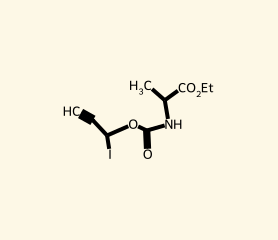 C#CC(I)OC(=O)NC(C)C(=O)OCC